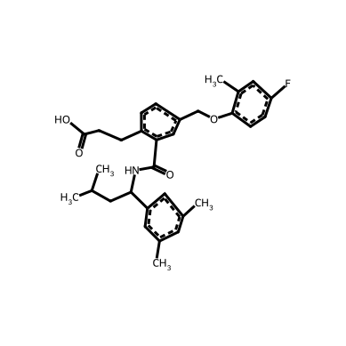 Cc1cc(C)cc(C(CC(C)C)NC(=O)c2cc(COc3ccc(F)cc3C)ccc2CCC(=O)O)c1